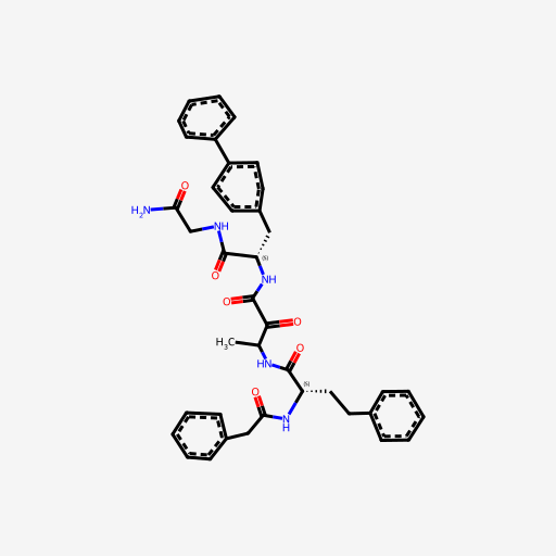 CC(NC(=O)[C@H](CCc1ccccc1)NC(=O)Cc1ccccc1)C(=O)C(=O)N[C@@H](Cc1ccc(-c2ccccc2)cc1)C(=O)NCC(N)=O